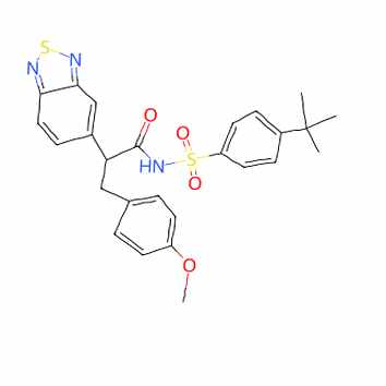 COc1ccc(CC(C(=O)NS(=O)(=O)c2ccc(C(C)(C)C)cc2)c2ccc3nsnc3c2)cc1